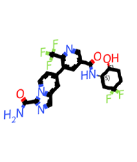 NC(=O)c1ncc2cc(-c3cc(C(=O)N[C@H]4CC(F)(F)CC[C@@H]4O)cnc3C(F)(F)F)ccn12